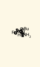 C=NN/C(=N\N)c1cn(CC2(c3cccc(F)c3)CCCC2)cc(OCCCC)c1=O